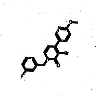 COc1ccc(-c2ccn(Cc3cccc(F)c3)c(=O)c2Br)cn1